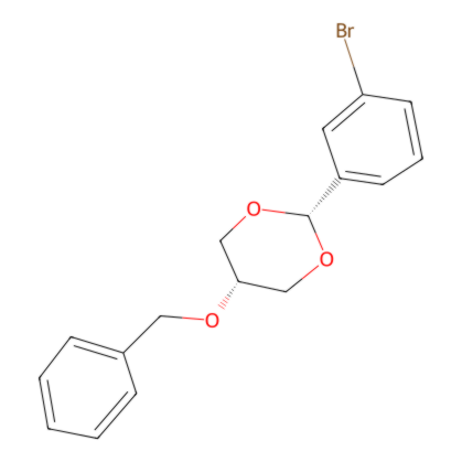 Brc1cccc([C@H]2OC[C@@H](OCc3ccccc3)CO2)c1